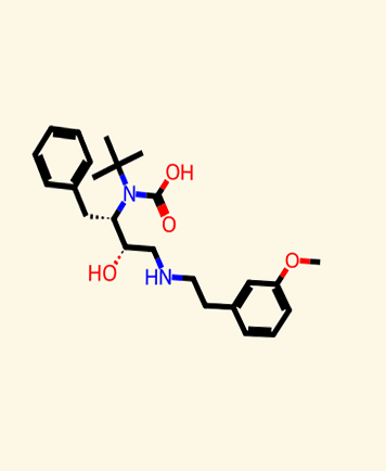 COc1cccc(CCNC[C@H](O)[C@H](Cc2ccccc2)N(C(=O)O)C(C)(C)C)c1